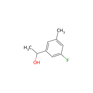 Cc1cc(F)cc(C(C)O)c1